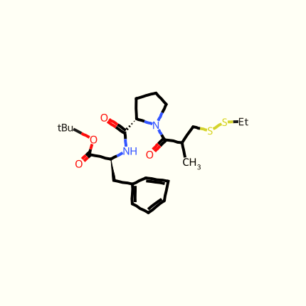 CCSSCC(C)C(=O)N1CCC[C@H]1C(=O)N[C@@H](Cc1ccccc1)C(=O)OC(C)(C)C